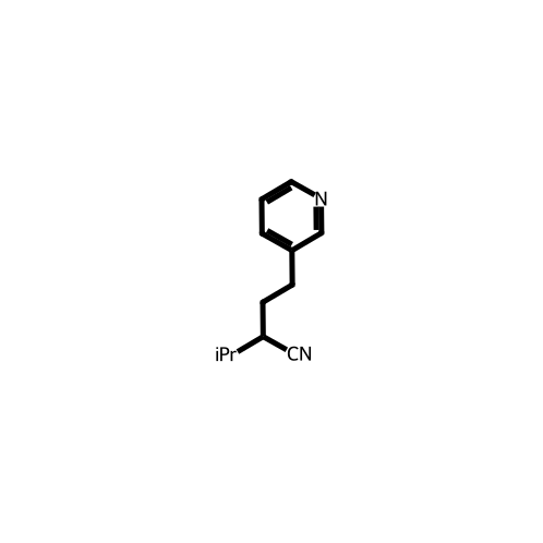 CC(C)C(C#N)CCc1cccnc1